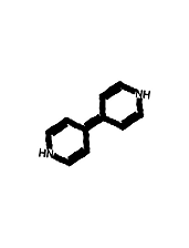 C1=CC(=C2C=CNC=C2)C=CN1